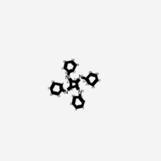 c1ccc(N=C2C(=Nc3ccccc3)C(=Nc3ccccc3)C2=Nc2ccccc2)cc1